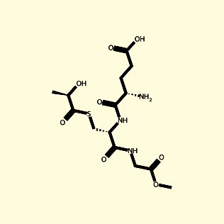 COC(=O)CNC(=O)[C@H](CSC(=O)[C@@H](C)O)NC(=O)[C@@H](N)CCC(=O)O